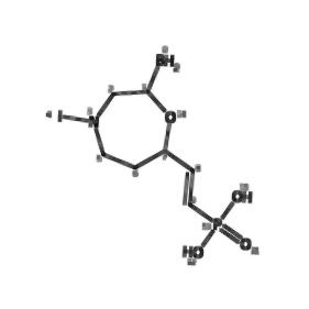 BC1CN(I)CCC(/C=C/P(=O)(O)O)O1